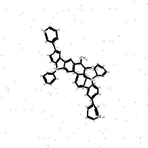 CC1c2cc3c4cc(-c5cccnc5)ccc4n(-c4ccccc4)c3cc2-c2ccc3c4cc(-c5cccnc5)ccc4n(C4C=CC=CC4)c3c2C1C